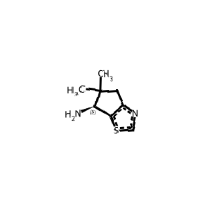 CC1(C)Cc2ncsc2[C@H]1N